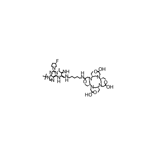 CCC(=N)/C(=C\NCCCCCNC(=O)CN1C[C@H](CC)N(CC(=O)O)C[C@H](CC)N(CC(=O)O)C[C@H](CC)N(CC(=O)O)C[C@@H]1CC)Nc1nc(N2CC[C@H](F)C2)nc2c1ncn2C(C)(C)C